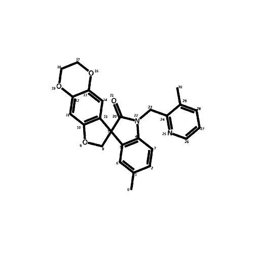 Cc1ccc2c(c1)C1(COc3cc4c(cc31)OCCO4)C(=O)N2Cc1ncccc1C